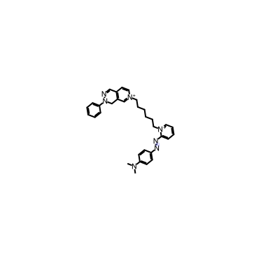 CN(C)c1ccc(/N=N/c2cccc[n+]2CCCCCC[n+]2ccc3c(c2)CN(c2ccccc2)N=C3)cc1